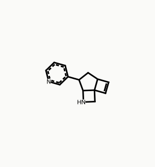 C1=CC23CNC2C(c2cccnc2)CC13